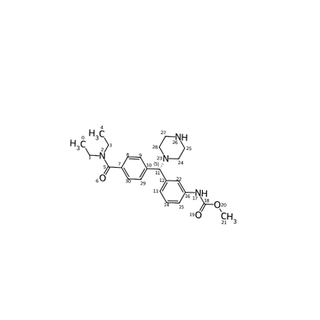 CCN(CC)C(=O)c1ccc([C@@H](c2cccc(NC(=O)OC)c2)N2CCNCC2)cc1